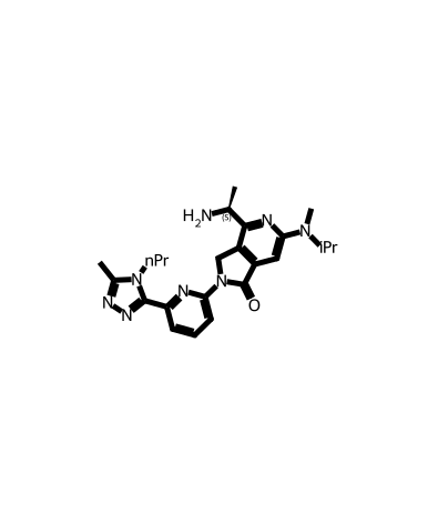 CCCn1c(C)nnc1-c1cccc(N2Cc3c(cc(N(C)C(C)C)nc3[C@H](C)N)C2=O)n1